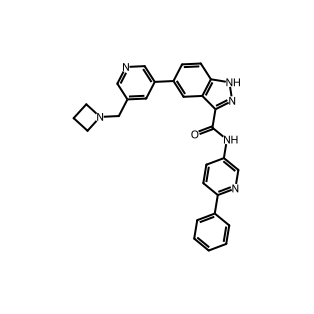 O=C(Nc1ccc(-c2ccccc2)nc1)c1n[nH]c2ccc(-c3cncc(CN4CCC4)c3)cc12